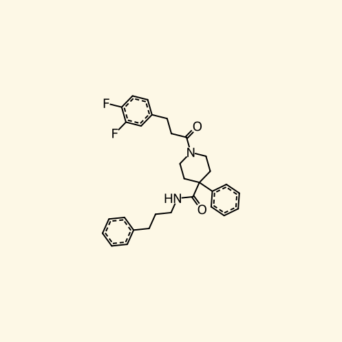 O=C(CCc1ccc(F)c(F)c1)N1CCC(C(=O)NCCCc2ccccc2)(c2ccccc2)CC1